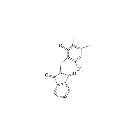 Cc1cc(C(F)(F)F)c(CN2C(=O)c3ccccc3C2=O)c(=O)n1C